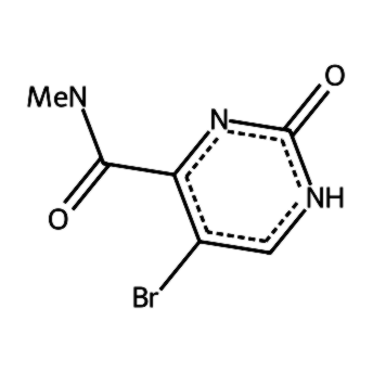 CNC(=O)c1nc(=O)[nH]cc1Br